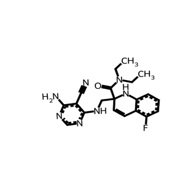 CCN(CC)C(=O)C1(CNc2ncnc(N)c2C#N)C=Cc2c(F)cccc2N1